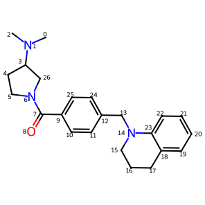 CN(C)C1CCN(C(=O)c2ccc(CN3CCCc4ccccc43)cc2)C1